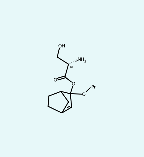 CC(C)OC1(OC(=O)[C@@H](N)CO)C=C2CCC1C2